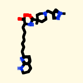 Cn1cc(CN2CCC(C)(C(=O)NC(CCCCCCCc3ccc4c(n3)NCCC4)C(=O)O)CC2)cn1